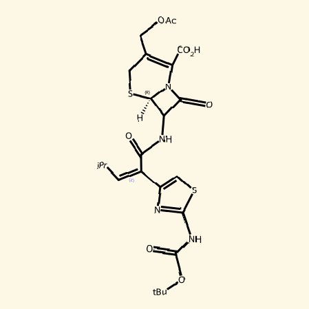 CC(=O)OCC1=C(C(=O)O)N2C(=O)C(NC(=O)/C(=C\C(C)C)c3csc(NC(=O)OC(C)(C)C)n3)[C@H]2SC1